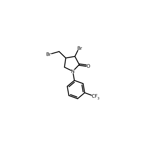 O=C1C(Br)C(CBr)CN1c1cccc(C(F)(F)F)c1